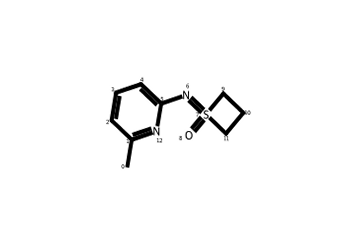 Cc1cccc(N=S2(=O)CCC2)n1